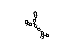 C1=Cc2c(n(-c3ccccc3)c3ccc(-c4ccc(-c5ccc(N(c6ccc(-c7ccc8ccccc8c7)cc6)c6ccc7oc8ccccc8c7c6)cc5)cc4)cc23)CC1